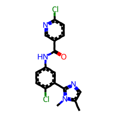 Cc1cnc(-c2cc(NC(=O)c3ccc(Cl)nc3)ccc2Cl)n1C